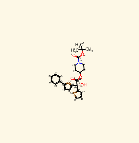 CC(C)(C)OC(=O)N1CCC(OC(=O)[C@@](O)(c2cccs2)c2ccc(-c3ccccc3)s2)CC1